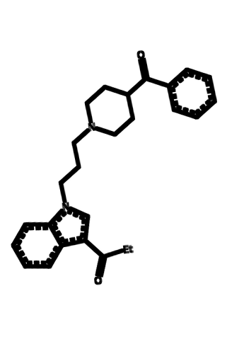 CCC(=O)c1cn(CCCN2CCC(C(=O)c3ccccc3)CC2)c2ccccc12